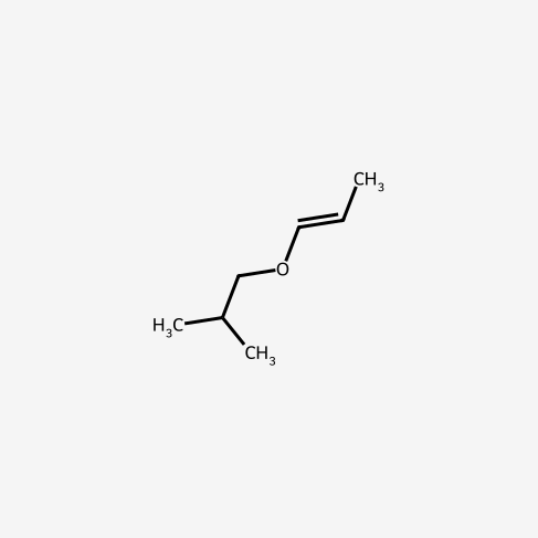 C/C=C/OCC(C)C